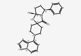 O=C1N2[C@@H](CC[C@H]2c2ccccc2)OC12CCN(c1cccn3nccc13)CC2